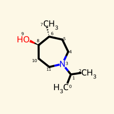 CC(C)N1CC[C@@H](C)[C@H](O)CC1